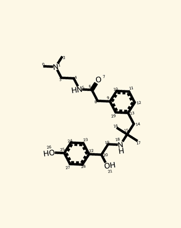 CN(C)CCNC(=O)Cc1cccc(CC(C)(C)NCC(O)c2ccc(O)cc2)c1